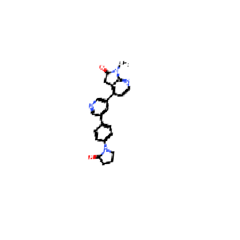 CN1C(=O)Cc2c(-c3cncc(-c4ccc(N5CCCC5=O)cc4)c3)ccnc21